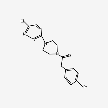 CC(C)c1ccc(CC(=O)N2CCN(c3ccc(Cl)nn3)CC2)cn1